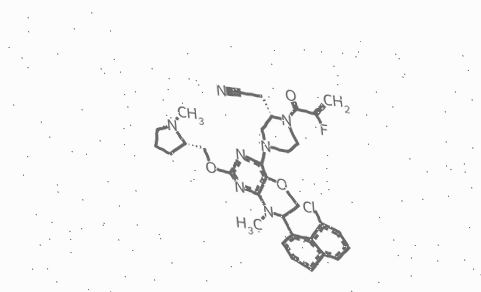 C=C(F)C(=O)N1CCN(c2nc(OC[C@@H]3CCCN3C)nc3c2OCC(c2cccc4cccc(Cl)c24)N3C)C[C@@H]1CC#N